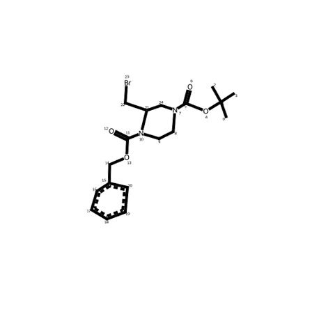 CC(C)(C)OC(=O)N1CCN(C(=O)OCc2ccccc2)C(CBr)C1